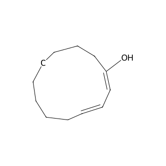 OC1=C/C=C/CCCCCCCC1